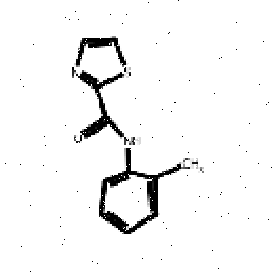 Cc1ccccc1NC(=O)c1nccs1